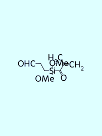 C=C(C)C(=O)[Si](CCC=O)(OC)OC